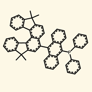 CC1(C)c2ccccc2-c2c1ccc1c(-c3c4ccccc4c(P(c4ccccc4)c4ccccc4)c4ccccc34)cc3c(c21)-c1ccccc1C3(C)C